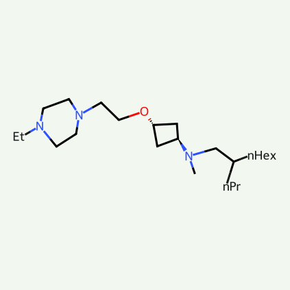 CCCCCCC(CCC)CN(C)[C@H]1C[C@H](OCCN2CCN(CC)CC2)C1